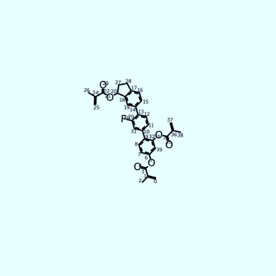 C=C(C)C(=O)Oc1ccc(-c2ccc(-c3ccc4c(c3)C(OC(=O)C(=C)C)CC4)c(F)c2)c(OC(=O)C(=C)C)c1